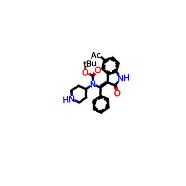 CC(=O)c1ccc2c(c1)C(=C(c1ccccc1)N(C(=O)OC(C)(C)C)C1CCNCC1)C(=O)N2